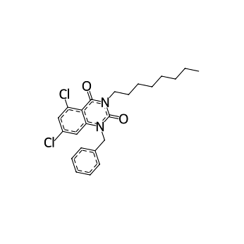 CCCCCCCCn1c(=O)c2c(Cl)cc(Cl)cc2n(Cc2ccccc2)c1=O